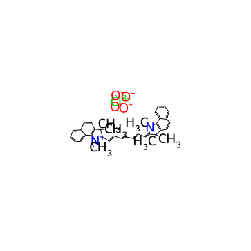 CN1\C(=C/C=C/C=C/C=C/C2=[N+](C)c3c(ccc4ccccc34)C2(C)C)C(C)(C)c2ccc3ccccc3c21.[O-][Cl+3]([O-])([O-])[O-]